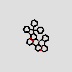 C1=CC(c2ccccc2N(c2ccc3c(c2)C(c2ccccc2)(c2ccccc2)c2ccccc2-3)c2ccccc2-c2ccccc2)=CCC1